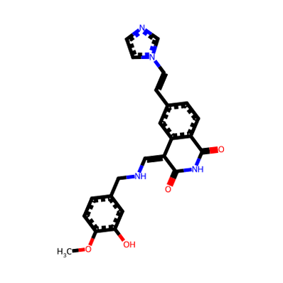 COc1ccc(CNC=C2C(=O)NC(=O)c3ccc(C=Cn4ccnc4)cc32)cc1O